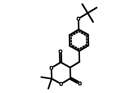 CC(C)(C)Oc1ccc(CC2C(=O)OC(C)(C)OC2=O)cc1